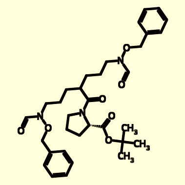 CC(C)(C)OC(=O)[C@@H]1CCCN1C(=O)C(CCCN(C=O)OCc1ccccc1)CCCN(C=O)OCc1ccccc1